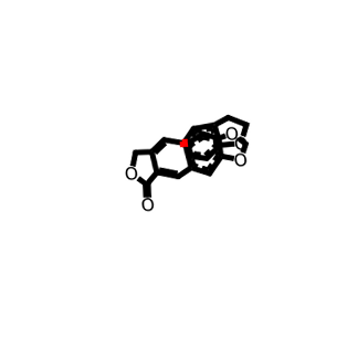 O=C1OCC(=C/c2ccc3c(c2)CCO3)/C1=C\c1ccc2c(c1)OCO2